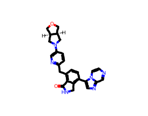 O=C1NCc2c(-c3cnc4cnccn34)ccc(Cc3ccc(N4C[C@H]5COC[C@H]5C4)cn3)c21